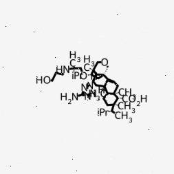 CC(C)[C@@H](C)[C@@]1(C)CC[C@]2(C)[C@H]3CC[C@@H]4[C@@]5(COC[C@]4(C)[C@@H](OC[C@](C)(NCCCO)C(C)C)[C@H](n4nnc(N)n4)C5)C3=CC[C@@]2(C)[C@@H]1C(=O)O